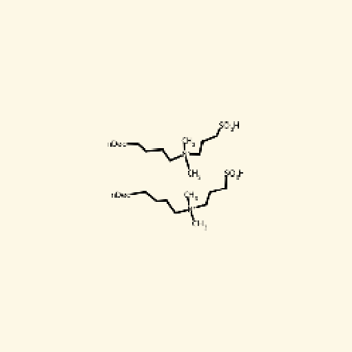 CCCCCCCCCCCCCC[N+](C)(C)CCCS(=O)(=O)O.CCCCCCCCCCCCCC[N+](C)(C)CCCS(=O)(=O)O